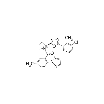 Cc1ccc(-n2nccn2)c(C(=O)N2CCC[C@H]2c2nnc(-c3cccc(Cl)c3C)o2)c1